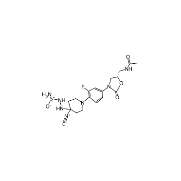 [C-]#[N+]C1(NN[S+](N)[O-])CCN(c2ccc(N3C[C@H](CNC(C)=O)OC3=O)cc2F)CC1